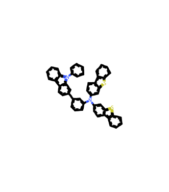 c1ccc(-n2c3ccccc3c3ccc(-c4cccc(N(c5ccc6c(c5)sc5ccccc56)c5ccc6c(c5)sc5ccccc56)c4)cc32)cc1